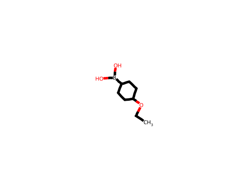 CCOC1CCC(B(O)O)CC1